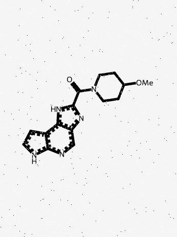 COC1CCN(C(=O)c2nc3cnc4[nH]ccc4c3[nH]2)CC1